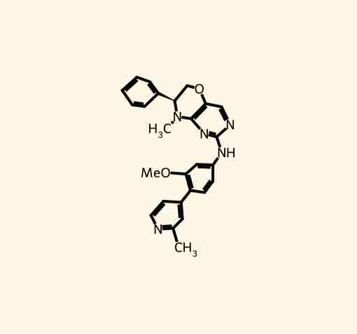 COc1cc(Nc2ncc3c(n2)N(C)[C@@H](c2ccccc2)CO3)ccc1-c1ccnc(C)c1